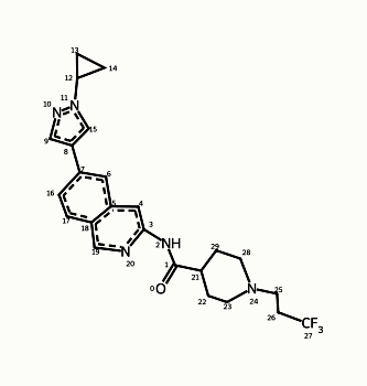 O=C(Nc1cc2cc(-c3cnn(C4CC4)c3)ccc2cn1)C1CCN(CCC(F)(F)F)CC1